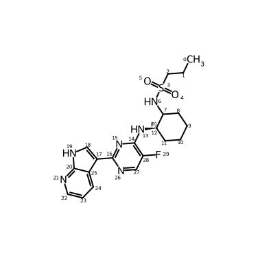 CCCS(=O)(=O)NC1CCCC[C@H]1Nc1nc(-c2c[nH]c3ncccc23)ncc1F